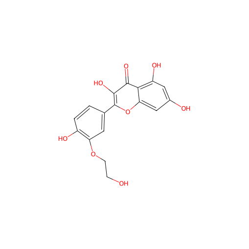 O=c1c(O)c(-c2ccc(O)c(OCCO)c2)oc2cc(O)cc(O)c12